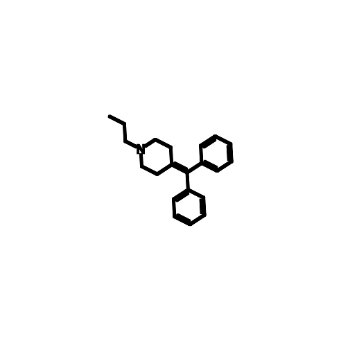 CCCN1CCC(=C(c2ccccc2)c2ccccc2)CC1